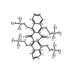 CC[Si](CC)(CC)CCc1c2c(c(CC[Si](CC)(CC)CC)c3ccccc13)C(=O)c1c(c(CC[Si](CC)(CC)CC)c3ccccc3c1CC[Si](CC)(CC)CC)C2=O